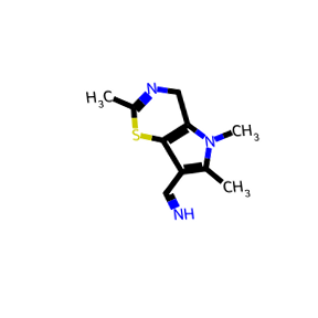 CC1=NCc2c(c(C=N)c(C)n2C)S1